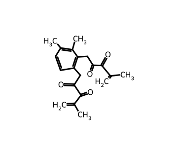 C=C(C)C(=O)C(=O)Cc1ccc(C)c(C)c1CC(=O)C(=O)C(=C)C